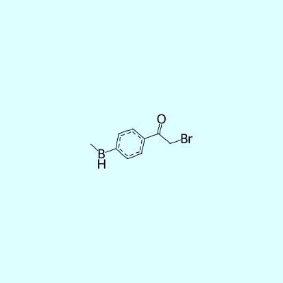 CBc1ccc(C(=O)CBr)cc1